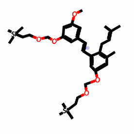 COc1cc(/C=C/c2cc(OCOCC[Si](C)(C)C)cc(C)c2CC=C(C)C)cc(OCOCC[Si](C)(C)C)c1